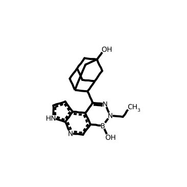 CCN1N=C(C2C3CC4CC2CC(O)(C4)C3)c2c(cnc3[nH]ccc23)B1O